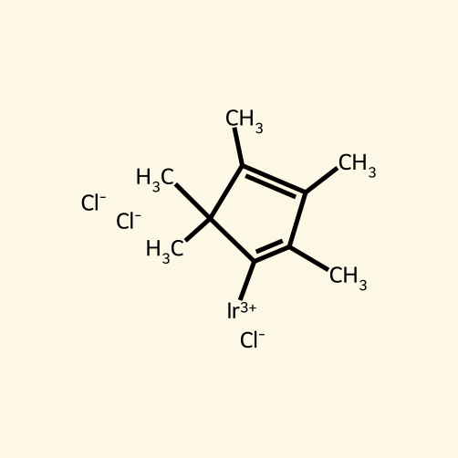 CC1=C(C)C(C)(C)[C]([Ir+3])=C1C.[Cl-].[Cl-].[Cl-]